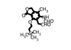 Cc1c2c(c(OCC[Si](C)(C)C)c(CC=O)c1NC=O)C(=O)OC2